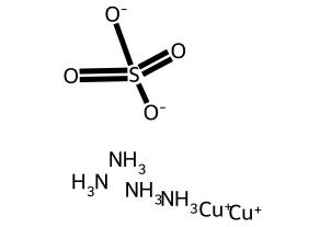 N.N.N.N.O=S(=O)([O-])[O-].[Cu+].[Cu+]